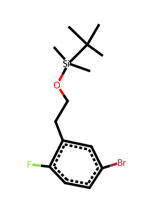 CC(C)(C)[Si](C)(C)OCCc1cc(Br)ccc1F